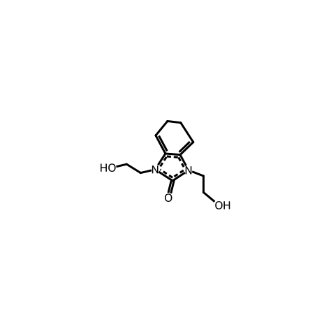 O=c1n(CCO)c2c(n1CCO)=CCCC=2